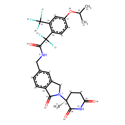 B[C@]1(N2Cc3cc(CNC(=O)C(F)(F)c4ccc(OC(C)C)cc4C(F)(F)F)ccc3C2=O)CCC(=O)NC1=O